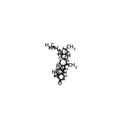 CNCCN1C[C@@H](C)C[C@H]2O[C@]3(CC[C@@H]4C(=C(C)C3)C[C@H]3[C@H]4CC[C@@H]4CC(=O)CC[C@@]43C)C[C@@H]21